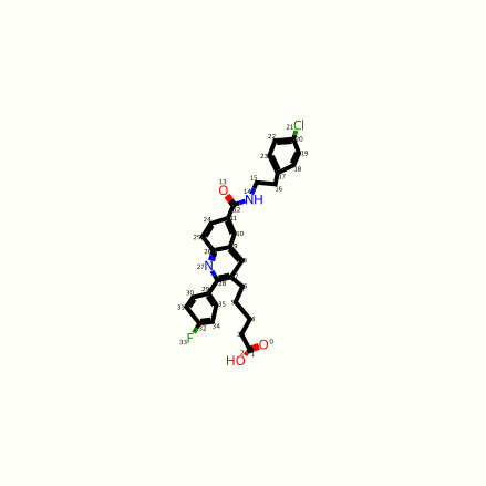 O=C(O)CCCCc1cc2cc(C(=O)NCCc3ccc(Cl)cc3)ccc2nc1-c1ccc(F)cc1